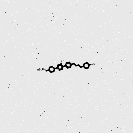 CCCCOCC1CCC(c2ccc(-c3ccc(CCCCC4CCC(CCC)CC4)cc3)c(F)c2)CC1